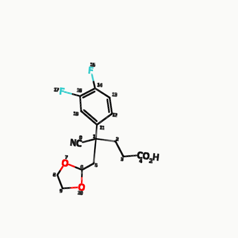 N#CC(CCC(=O)O)(CC1OCCO1)c1ccc(F)c(F)c1